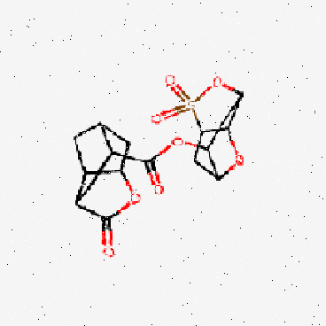 O=C(OC1C2CC3C(O2)C1OS3(=O)=O)C1C2CC3OC(=O)C1C3C2